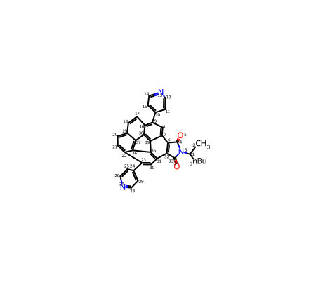 CCCCC(C)n1c(=O)c2c3cc(-c4ccncc4)c4ccc5ccc6c(-c7ccncc7)cc(c2c1=O)c1c6c5c4c31